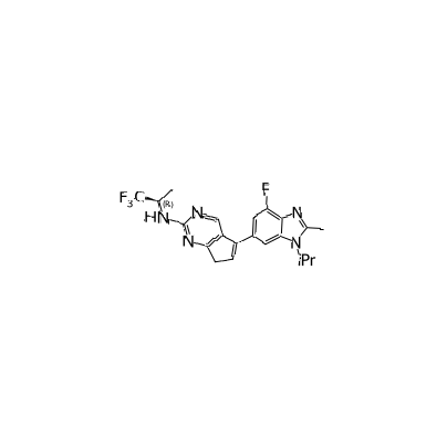 Cc1nc2c(F)cc(C3=CCc4nc(N[C@H](C)C(F)(F)F)ncc43)cc2n1C(C)C